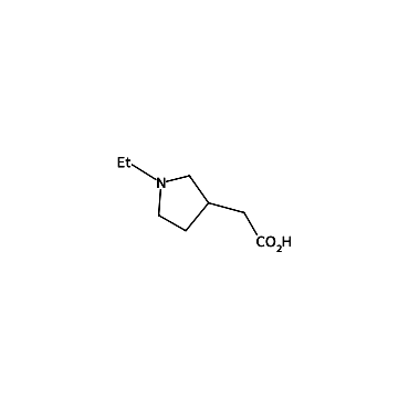 CCN1CCC(CC(=O)O)C1